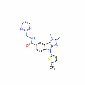 Cc1nc2c(c3cc(C(=O)NCc4ncccn4)ccc3n2-c2ccc(C(F)(F)F)s2)n1C